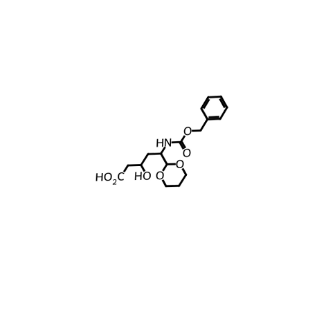 O=C(O)CC(O)CC(NC(=O)OCc1ccccc1)C1OCCCO1